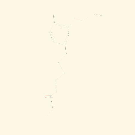 CCC(=O)CCCCCc1ccc(C)c(OCSC)c1